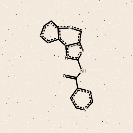 O=C(Nc1nc2c(ccc3ccccc32)s1)c1ccncc1